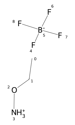 CCO[NH3+].F[B-](F)(F)F